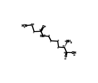 NOCC(=O)NCCCC[C@H](N)C(=O)O